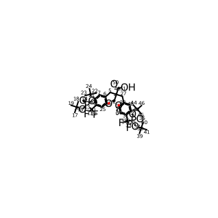 COC(=O)C(Cc1ccc(C(F)(F)P(=O)(OC(C)(C)C)OC(C)(C)C)cc1)(Cc1ccc(C(F)(F)P(=O)(OC(C)(C)C)OC(C)(C)C)cc1)C(=O)O